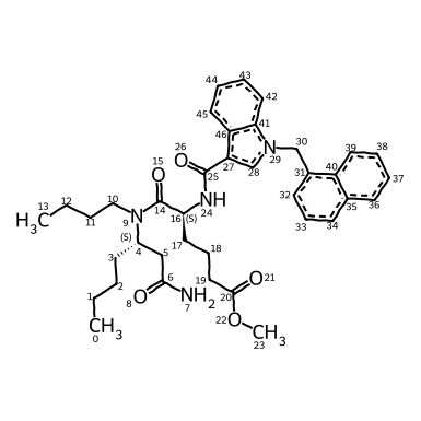 CCCC[C@@H](CC(N)=O)N(CCCC)C(=O)[C@H](CCCC(=O)OC)NC(=O)c1cn(Cc2cccc3ccccc23)c2ccccc12